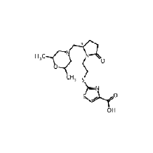 CC1CN(C[C@H]2CCC(=O)N2CCSc2nc(C(=O)O)cs2)CC(C)O1